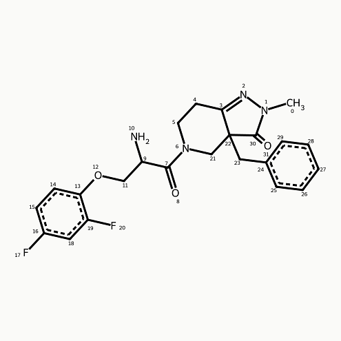 CN1N=C2CCN(C(=O)C(N)COc3ccc(F)cc3F)CC2(Cc2ccccc2)C1=O